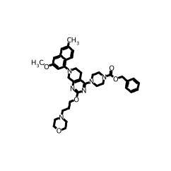 COc1cc(N2CCc3c(nc(OCCCN4CCOCC4)nc3N3CCN(C(=O)OCc4ccccc4)CC3)C2)c2ccc(C)cc2c1